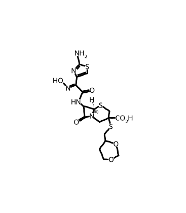 Nc1nc(C(=NO)C(=O)NC2C(=O)N3CC(SCC4CCOCO4)(C(=O)O)CS[C@H]23)cs1